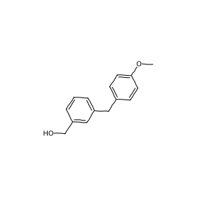 COc1ccc(Cc2cccc(CO)c2)cc1